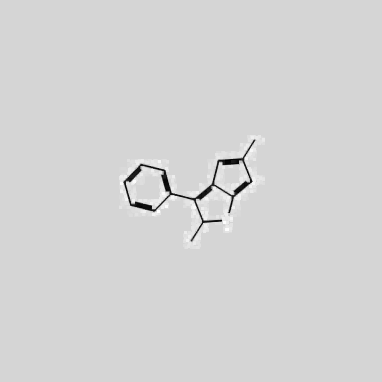 CC1=CC2=C(c3ccccc3)C(C)SC2=[C]1